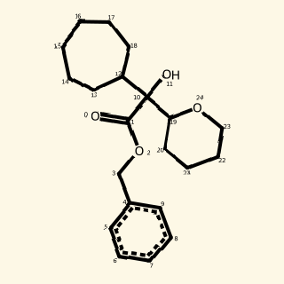 O=C(OCc1ccccc1)C(O)(C1CCCCCC1)C1CCCCO1